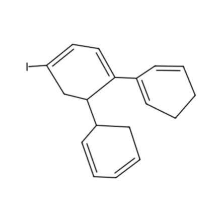 IC1=CC=C(C2=CCCC=C2)C(C2C=CC=CC2)C1